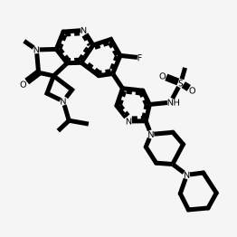 CC(C)N1CC2(C1)C(=O)N(C)c1cnc3cc(F)c(-c4cnc(N5CCC(N6CCCCC6)CC5)c(NS(C)(=O)=O)c4)cc3c12